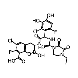 CCN1CCN(C(=O)N[C@@H](C(=O)N[C@H]2Cc3cc(Cl)c(F)c(C(=O)O)c3OB2O)c2c(F)cc(O)c(O)c2Cl)C(=O)C1=O